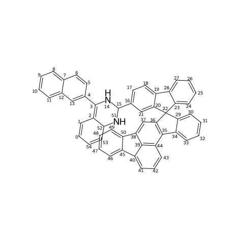 C1=CC2=C(c3ccc4ccccc4c3)NC(c3ccc4c(c3)C3(c5ccccc5-4)c4ccccc4-c4c3cc3c5c(cccc45)-c4ccccc4-3)NC2C=C1